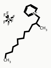 CCCCCCCCCCC(C)C[n+]1ccccc1.F[P-](F)(F)(F)(F)F